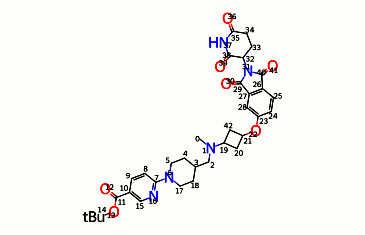 CN(CC1CCN(c2ccc(C(=O)OC(C)(C)C)cn2)CC1)C1CC(Oc2ccc3c(c2)C(=O)N(C2CCC(=O)NC2=O)C3=O)C1